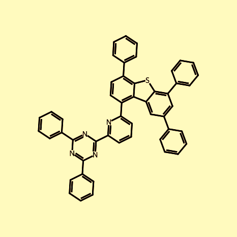 c1ccc(-c2cc(-c3ccccc3)c3sc4c(-c5ccccc5)ccc(-c5cccc(-c6nc(-c7ccccc7)nc(-c7ccccc7)n6)n5)c4c3c2)cc1